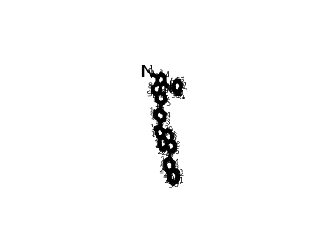 N#Cc1ccc2c3c1ccc1cc(-c4ccc(-c5ccc6ccc7c(-c8ccc9ccccc9c8)ccc8ccc5c6c87)cc4)cc(c13)n2-c1ccccc1